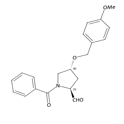 COc1ccc(CO[C@@H]2C[C@@H](C=O)N(C(=O)c3ccccc3)C2)cc1